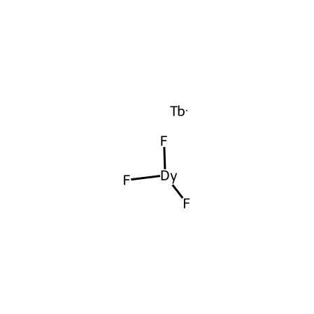 [F][Dy]([F])[F].[Tb]